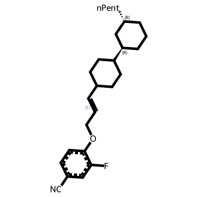 CCCCC[C@@H]1CCC[C@@H](C2CCC(/C=C/COc3ccc(C#N)cc3F)CC2)C1